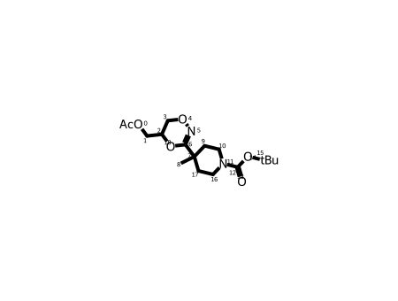 CC(=O)OCC1CON=C(C2(C)CCN(C(=O)OC(C)(C)C)CC2)O1